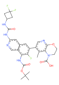 Cc1c(-c2cc3cc(NC(=O)NC4CC(F)(F)C4)ncc3c(NC(=O)OC(C)(C)C)c2F)cnc2c1N(C(=O)O)CCO2